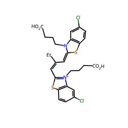 CCC(=Cc1sc2ccc(Cl)cc2[n+]1CCCC(=O)O)C=C1Sc2ccc(Cl)cc2N1CCCC(=O)O